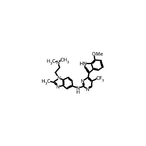 COc1cccc2c(-c3nc(Nc4ccc5c(c4)nc(C)n5CCN(C)C)ncc3C(F)(F)F)c[nH]c12